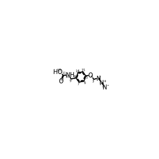 [N-]=[N+]=NCOc1ccc(CNC(=O)O)cc1